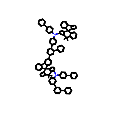 CC1(C)c2ccccc2C2(c3ccccc3-c3ccccc32)c2ccc(N(c3ccc(-c4ccccc4)cc3)c3ccc(-c4ccc(-c5ccc6c(c5)-c5ccccc5C65c6ccccc6C(C)(C)c6c(N(c7ccc(-c8ccccc8)cc7)c7cccc(-c8cccc(-c9ccccc9)c8)c7)cccc65)cc4-c4ccccc4)cc3)cc21